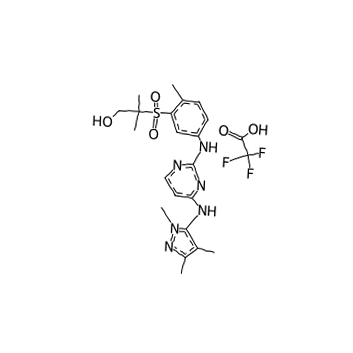 Cc1ccc(Nc2nccc(Nc3c(C)c(C)nn3C)n2)cc1S(=O)(=O)C(C)(C)CO.O=C(O)C(F)(F)F